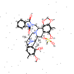 COc1c(C)cc2c(c1O)[C@@H]1[C@@H]3Cc4c(OS(C)(=O)=O)c(C)c5c(c4[C@H](CN4C(=O)c6ccccc6C4=O)N3[C@@H](C#N)[C@H](C2)N1C)OCO5